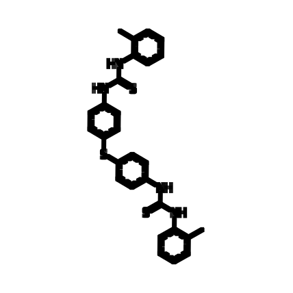 Cc1ccccc1NC(=S)Nc1ccc(Sc2ccc(NC(=S)Nc3ccccc3C)cc2)cc1